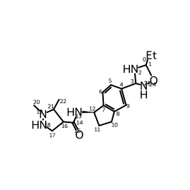 CCC1NC(c2ccc3c(c2)CC[C@H]3NC(=O)C2CNN(C)C2C)NO1